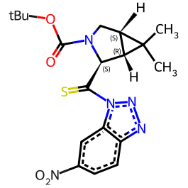 CC(C)(C)OC(=O)N1C[C@H]2[C@@H]([C@H]1C(=S)n1nnc3ccc([N+](=O)[O-])cc31)C2(C)C